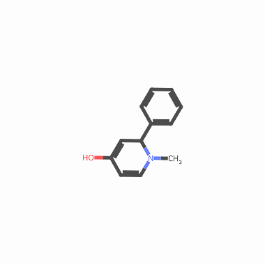 CN1C=CC(O)=CC1c1ccccc1